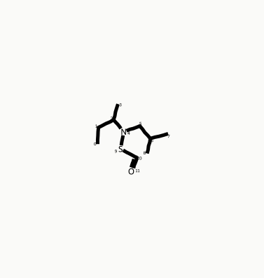 CCC(C)N(CC(C)C)S[C]=O